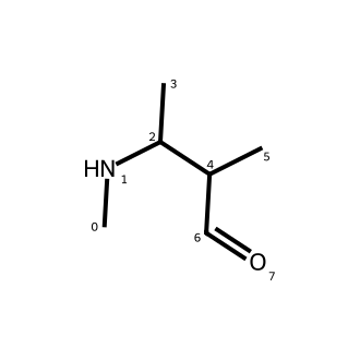 CNC(C)C(C)C=O